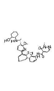 COc1nc(-c2cccc(-c3cccc(NC(=O)c4ccnn(C)c4=O)c3Cl)c2Cl)ccc1C(C)NC1CCCCC1O